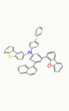 c1ccc(-c2ccc(N(c3cc(-c4cccc5ccccc45)cc(-c4cccc5c4oc4ccccc45)c3)c3ccc4sc5ccccc5c4c3)cc2)cc1